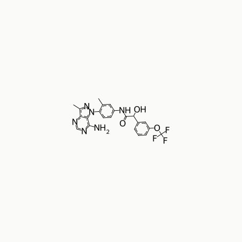 Cc1cc(NC(=O)C(O)c2cccc(OC(F)(F)F)c2)ccc1-n1nc(C)c2ncnc(N)c21